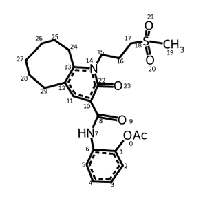 CC(=O)Oc1ccccc1NC(=O)c1cc2c(n(CCCS(C)(=O)=O)c1=O)CCCCCC2